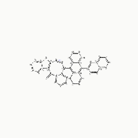 C=C1c2ccccc2N(c2c3c(c(-c4ccc5ccccc5c4)c4ccccc24)C=CCC3)/C=C\c2oc3ccccc3c21